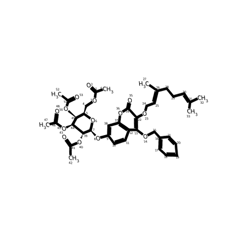 CC(=O)OC[C@H]1O[C@@H](Oc2ccc3c(OCc4ccccc4)c(OC/C=C(\C)CCC=C(C)C)c(=O)oc3c2)[C@H](OC(C)=O)[C@@H](OC(C)=O)[C@H]1OC(C)=O